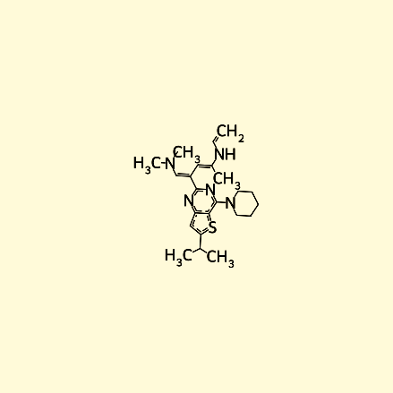 C=CN/C(C)=C/C(=C\N(C)C)c1nc(N2CCCCC2)c2sc(C(C)C)cc2n1